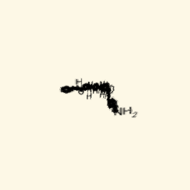 NCCN1CCN(CCNC(=O)c2ccc3nc(-c4ccc(-c5nc6ccc(C(=O)NCCN7CCCCC7)cc6[nH]5)cc4)[nH]c3c2)CC1